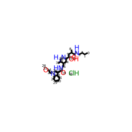 CCCCNC(=O)C(C)CC(O)C(N)CC(CNC(=O)c1cn(CCOC)c2ccccc12)C(C)C.Cl